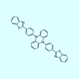 c1ccc2c(c1)N(c1ccc(-c3nc4ccccc4s3)cc1)c1ccccc1N2c1ccc(-c2nc3ccccc3s2)cc1